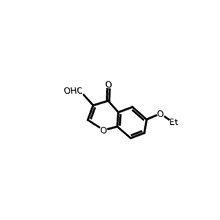 CCOc1ccc2occ(C=O)c(=O)c2c1